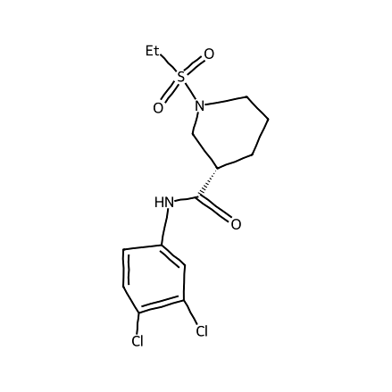 CCS(=O)(=O)N1CCC[C@H](C(=O)Nc2ccc(Cl)c(Cl)c2)C1